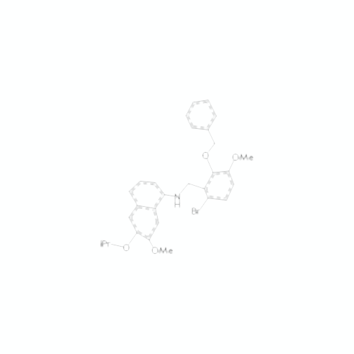 COc1cc2c(NCc3c(Br)ccc(OC)c3OCc3ccccc3)cccc2cc1OC(C)C